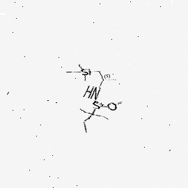 C[C@@H](C[Si](C)(C)C)N[S+]([O-])C(C)(C)C